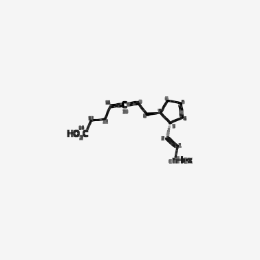 CCCCCCC=C[C@H]1C=CC[C@@H]1CC=C=CCCC(=O)O